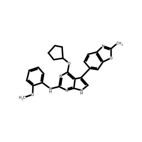 COc1c[c]ccc1Nc1nc(OC2CCCC2)c2c(-c3ccc4nc(C)oc4c3)c[nH]c2n1